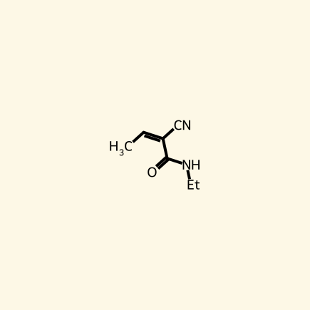 C/C=C(/C#N)C(=O)NCC